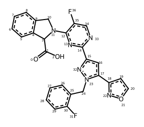 O=C(O)C1c2ccccc2CN1c1nc(-c2cc(-c3ccon3)n(Cc3ccccc3F)n2)ncc1F